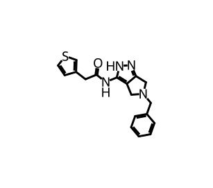 O=C(Cc1ccsc1)Nc1[nH]nc2c1CN(Cc1ccccc1)C2